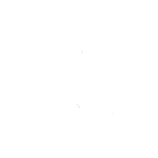 O=C(O)CCN1CCCC2(COc3cc(OCc4c(F)cccc4C4CC4)ccc32)C1